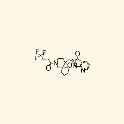 O=C(CCC(F)(F)F)N1CCC(O)(CN2Cc3ncccc3C2=O)C2(CCCC2)C1